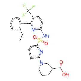 CCc1ccccc1-c1nc(NS(=O)(=O)c2cccc(N3CCCC(C(=O)O)C3)n2)ccc1C(F)(F)F